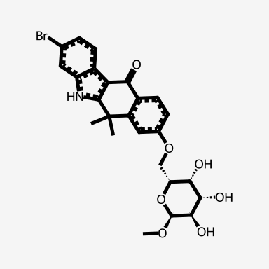 CO[C@H]1O[C@H](COc2ccc3c(c2)C(C)(C)c2[nH]c4cc(Br)ccc4c2C3=O)[C@H](O)[C@H](O)[C@H]1O